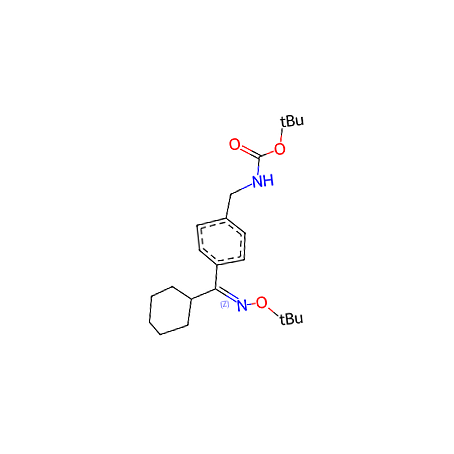 CC(C)(C)O/N=C(\c1ccc(CNC(=O)OC(C)(C)C)cc1)C1CCCCC1